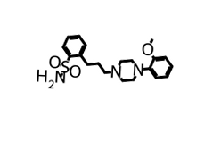 COc1ccccc1N1CCN(CCCc2ccccc2S(N)(=O)=O)CC1